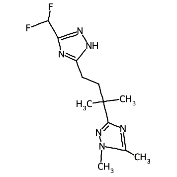 Cc1nc(C(C)(C)CCc2nc(C(F)F)n[nH]2)nn1C